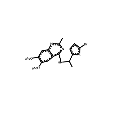 COc1cc2nc(C)nc(NC(C)c3ccc(Br)s3)c2cc1OC